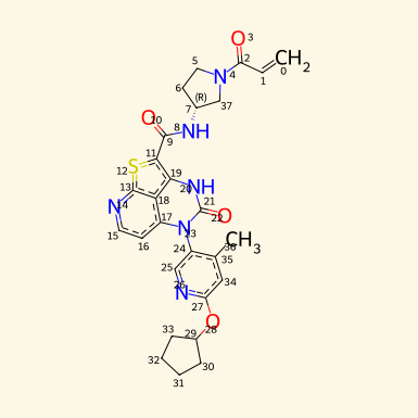 C=CC(=O)N1CC[C@@H](NC(=O)c2sc3nccc4c3c2NC(=O)N4c2cnc(OC3CCCC3)cc2C)C1